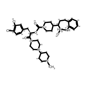 CN1CCC(N2CCN(C(=O)[C@@H](Cc3ccc(Cl)c(Cl)c3)OC(=O)N3CCC(C4CCc5ccccc5N[NH+]4[O-])CC3)CC2)CC1